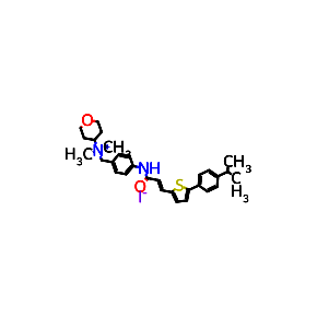 CC(C)c1ccc(-c2ccc(C=CC(=O)Nc3ccc(C[N+](C)(C)C4CCOCC4)cc3)s2)cc1.[I-]